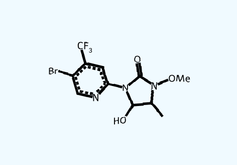 CON1C(=O)N(c2cc(C(F)(F)F)c(Br)cn2)C(O)C1C